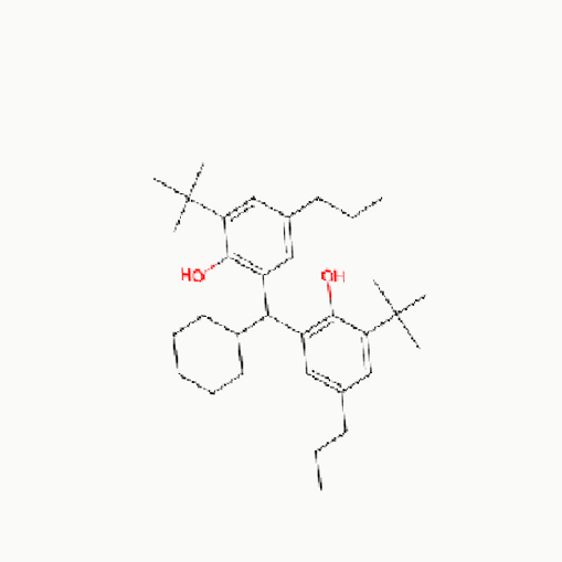 CCCc1cc(C(c2cc(CCC)cc(C(C)(C)C)c2O)C2CCCCC2)c(O)c(C(C)(C)C)c1